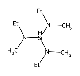 CCN(C)[SiH](N(C)CC)N(C)CC